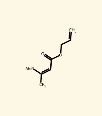 C=CCOC(=O)/C=C(\NC)C(F)(F)F